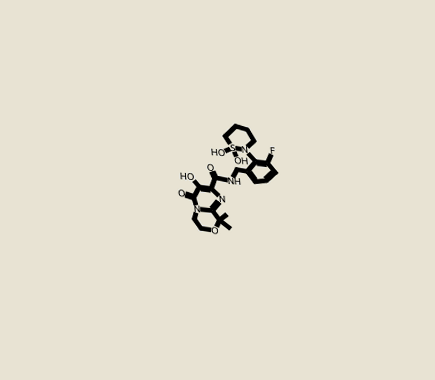 CC1(C)OCCn2c1nc(C(=O)NCc1cccc(F)c1N1CCCCS1(O)O)c(O)c2=O